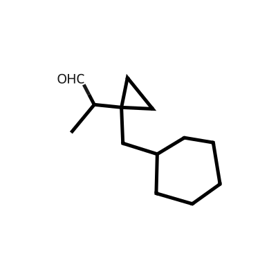 CC(C=O)C1(CC2CCCCC2)CC1